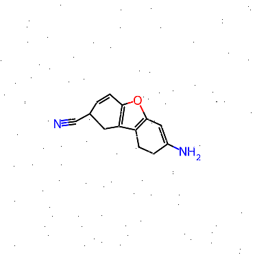 N#CC1C=Cc2oc3c(c2C1)CCC(N)=C3